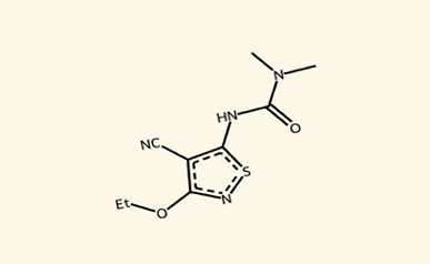 CCOc1nsc(NC(=O)N(C)C)c1C#N